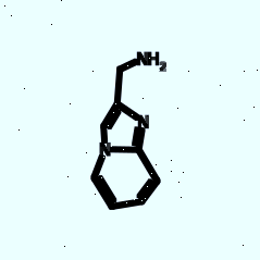 NCc1cn2ccccc2n1